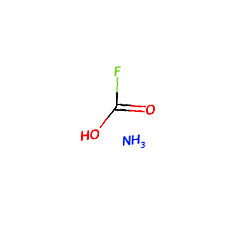 N.O=C(O)F